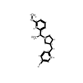 COc1cccc([C@H](C)N2CCC(Cc3ccc(F)cn3)C2)n1